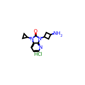 Cl.NC1CC(n2c(=O)n(C3CC3)c3cccnc32)C1